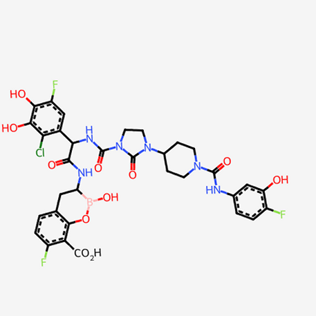 O=C(O)c1c(F)ccc2c1OB(O)C(NC(=O)C(NC(=O)N1CCN(C3CCN(C(=O)Nc4ccc(F)c(O)c4)CC3)C1=O)c1cc(F)c(O)c(O)c1Cl)C2